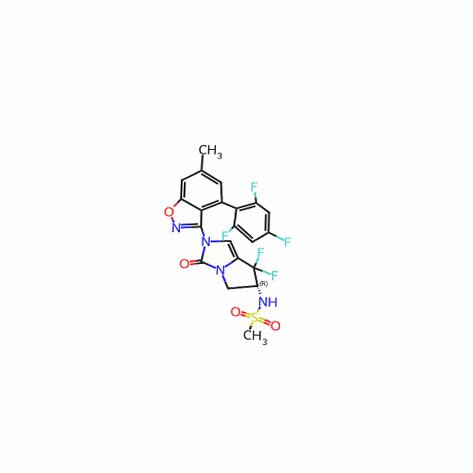 Cc1cc(-c2c(F)cc(F)cc2F)c2c(-n3cc4n(c3=O)C[C@@H](NS(C)(=O)=O)C4(F)F)noc2c1